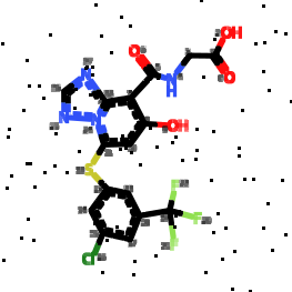 O=C(O)CNC(=O)c1c(O)cc(Sc2cc(Cl)cc(C(F)(F)F)c2)n2ncnc12